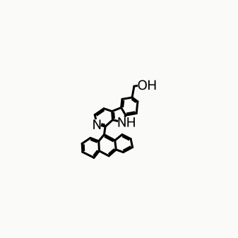 OCc1ccc2[nH]c3c(-c4c5ccccc5cc5ccccc45)nccc3c2c1